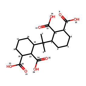 CC(C)(C1CCCC(C(=O)O)C1C(=O)O)C1CCCC(C(=O)O)C1C(=O)O